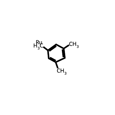 Cc1cc(C)cc(C)c1.[Ru]